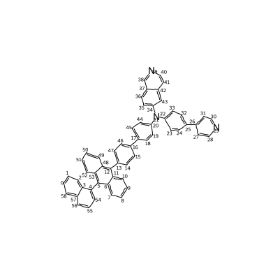 c1ccc2c(-c3c4ccccc4c(-c4ccc(-c5ccc(N(c6ccc(-c7ccncc7)cc6)c6ccc7cnccc7c6)cc5)cc4)c4ccccc34)cccc2c1